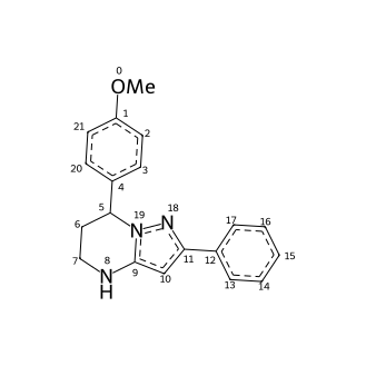 COc1ccc(C2CCNc3cc(-c4ccccc4)nn32)cc1